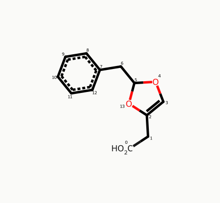 O=C(O)CC1=COC(Cc2ccccc2)O1